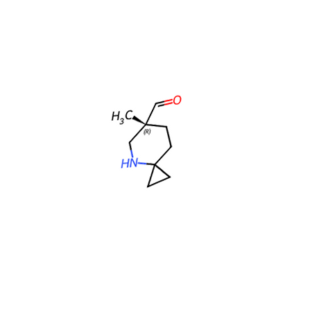 C[C@@]1(C=O)CCC2(CC2)NC1